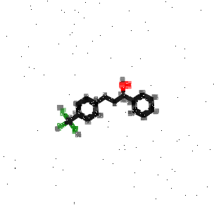 O[C@H](CCc1ccc(C(F)(F)F)cc1)c1ccccc1